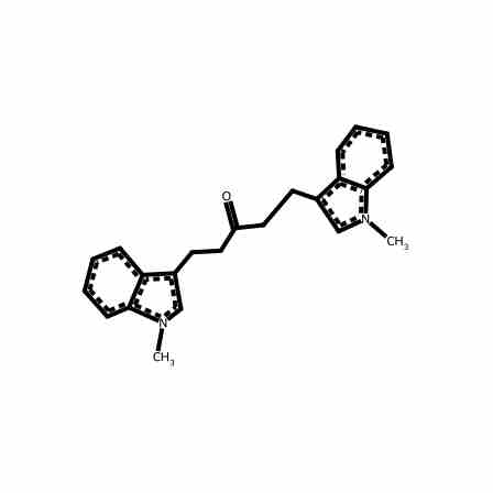 Cn1cc(CCC(=O)CCc2cn(C)c3ccccc23)c2ccccc21